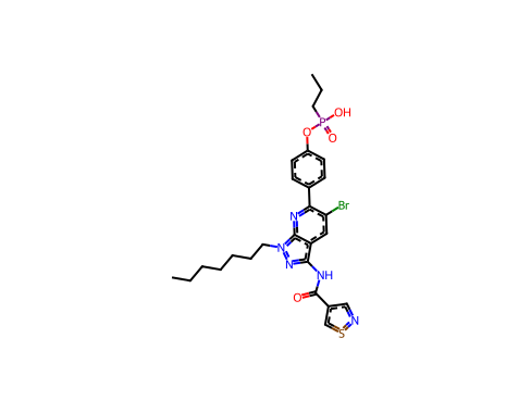 CCCCCCCn1nc(NC(=O)c2cnsc2)c2cc(Br)c(-c3ccc(OP(=O)(O)CCC)cc3)nc21